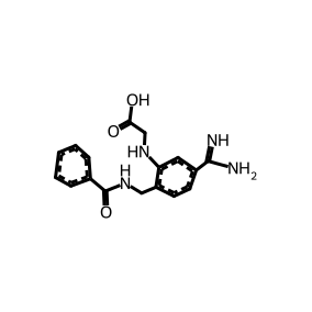 N=C(N)c1ccc(CNC(=O)c2ccccc2)c(NCC(=O)O)c1